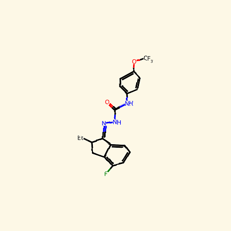 CCC1Cc2c(F)cccc2C1=NNC(=O)Nc1ccc(OC(F)(F)F)cc1